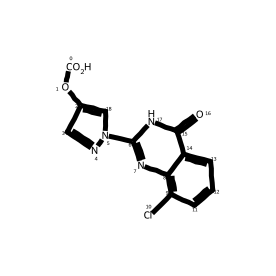 O=C(O)Oc1cnn(-c2nc3c(Cl)cccc3c(=O)[nH]2)c1